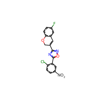 O=[N+]([O-])c1ccc(Cl)c(-c2nc(C3=Cc4cc(F)ccc4OC3)no2)c1